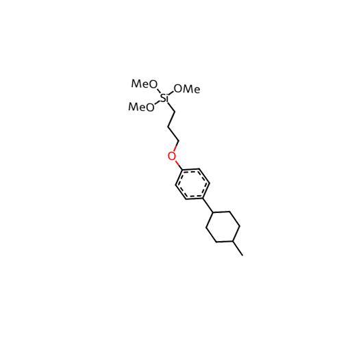 CO[Si](CCCOc1ccc(C2CCC(C)CC2)cc1)(OC)OC